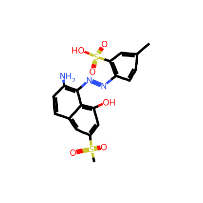 Cc1ccc(N=Nc2c(N)ccc3cc(S(C)(=O)=O)cc(O)c23)c(S(=O)(=O)O)c1